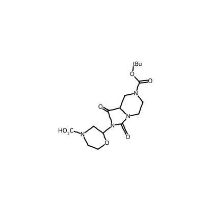 CC(C)(C)OC(=O)N1CCN2C(=O)N(C3CN(C(=O)O)CCO3)C(=O)C2C1